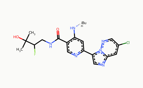 CC[C@@H](C)Nc1cc(-c2cnc3cc(Cl)cnn23)ncc1C(=O)NCC(F)C(C)(C)O